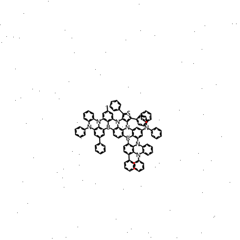 Cc1cc2c3c(c1)N1c4c(ccc5c4N(c4cc(N(c6ccccc6)c6ccccc6)cc6c4B5c4ccc(-c5ccccc5)c5c4N6c4ccccc4N5c4ccccc4)c4c(-c5ccccc5)sc(-c5ccccc5)c41)B3c1cc(-c3ccccc3)cc3c1N2c1ccccc1N3c1ccccc1